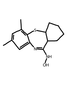 Cc1cc(C)c2c(c1)N=C(NO)C1CCCCC1S2